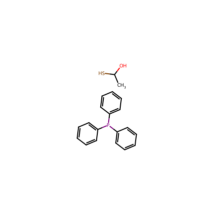 CC(O)S.c1ccc(P(c2ccccc2)c2ccccc2)cc1